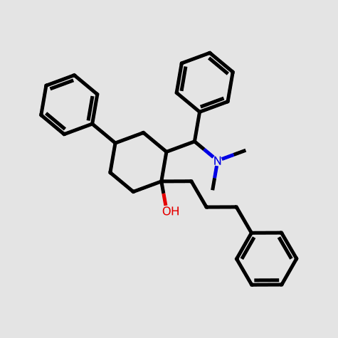 CN(C)C(c1ccccc1)C1CC(c2ccccc2)CCC1(O)CCCc1ccccc1